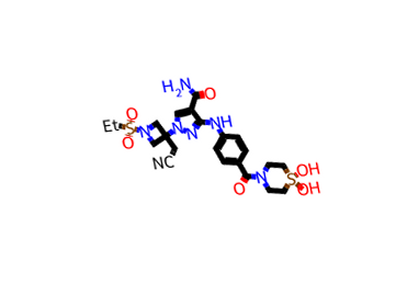 CCS(=O)(=O)N1CC(CC#N)(n2cc(C(N)=O)c(Nc3ccc(C(=O)N4CCS(O)(O)CC4)cc3)n2)C1